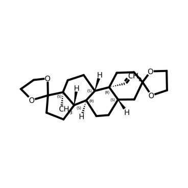 C=C[C@]12CCC3(C[C@@H]1CC[C@@H]1[C@@H]2CC[C@@]2(C)[C@H]1CCC21OCCO1)OCCO3